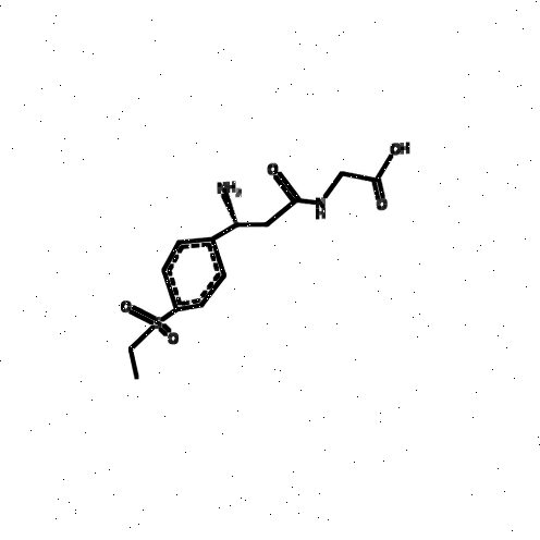 CCS(=O)(=O)c1ccc([C@@H](N)CC(=O)NCC(=O)O)cc1